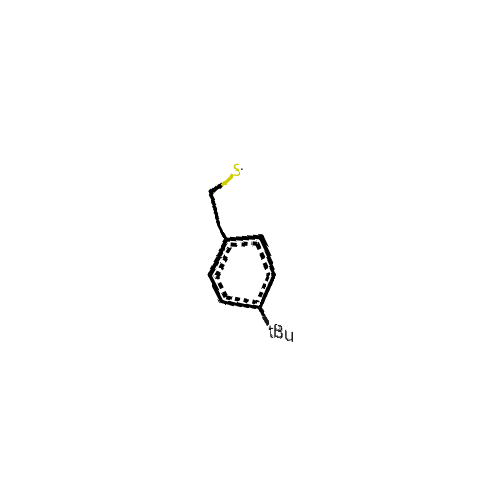 CC(C)(C)c1ccc(C[S])cc1